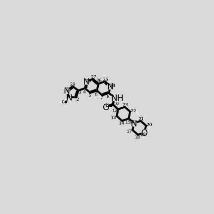 Cn1cc(-c2cc3cc(NC(=O)C4CCC(N5CCOCC5)CC4)ncc3cn2)cn1